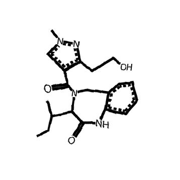 CCC(C)C1C(=O)Nc2ccccc2CN1C(=O)c1cn(C)nc1CCO